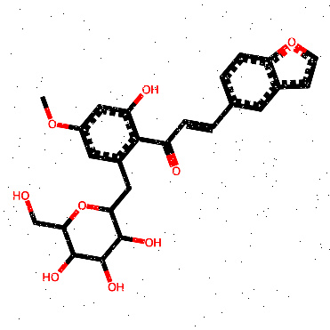 COc1cc(O)c(C(=O)C=Cc2ccc3occc3c2)c(CC2OC(CO)C(O)C(O)C2O)c1